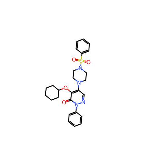 O=c1c(OC2CCCCC2)c(N2CCN(S(=O)(=O)c3ccccc3)CC2)cnn1-c1ccccc1